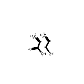 C=CC(=O)O.C=C[CH2][Sn]